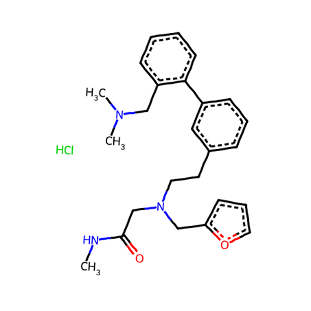 CNC(=O)CN(CCc1cccc(-c2ccccc2CN(C)C)c1)Cc1ccco1.Cl